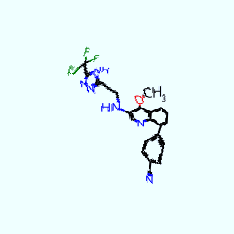 COc1c(NCc2nnc(C(F)(F)F)[nH]2)cnc2c(-c3ccc(C#N)cc3)cccc12